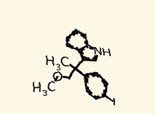 COCC(C)(c1ccc(I)cc1)c1c[nH]c2ccccc12